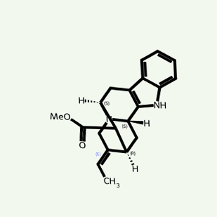 C/C=C1/CN2[C@H]3C[C@@H]1C(C(=O)OC)[C@@H]2Cc1c3[nH]c2ccccc12